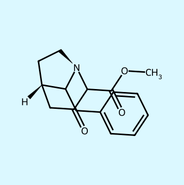 COC(=O)C1C(=O)C[C@@H]2CC[N@]1C2Cc1ccccc1